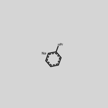 CCCc1ccccc1.[Na]